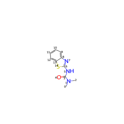 CN(C)C(=O)Nc1nc2ccccc2s1